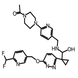 CC(=O)N1CCN(c2ccc(CNC(O)C3(c4ccc(OCc5ccc(C(F)F)nc5)nn4)CC3)cn2)CC1